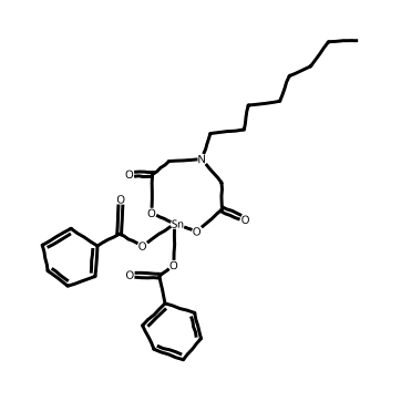 CCCCCCCCN1CC(=O)[O][Sn]([O]C(=O)c2ccccc2)([O]C(=O)c2ccccc2)[O]C(=O)C1